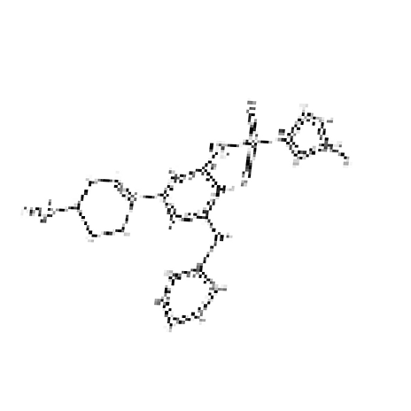 CCOC(=O)C1CC=C(c2cc(Oc3ccccc3)nc(NS(=O)(=O)c3cnn(C)c3)n2)CC1